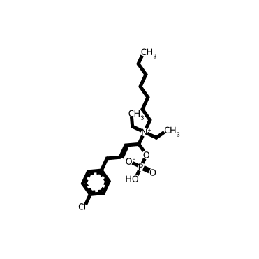 CCCCCCC[N+](CC)(CC)C(C=CCc1ccc(Cl)cc1)OP(=O)([O-])O